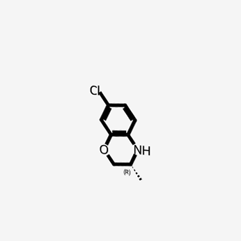 C[C@@H]1COc2cc(Cl)ccc2N1